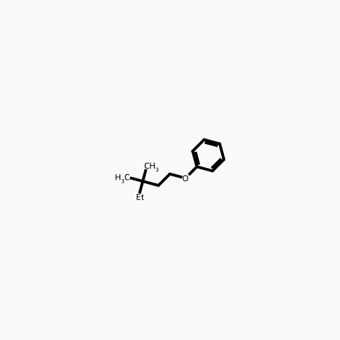 CCC(C)(C)CCOc1ccccc1